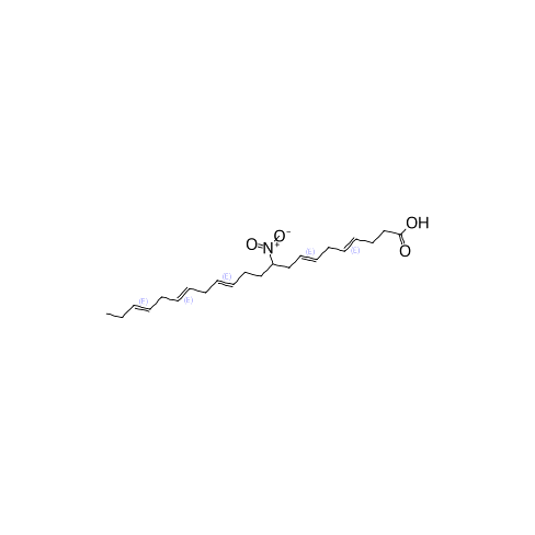 CC/C=C/C/C=C/C/C=C/CCC(C/C=C/C/C=C/CCC(=O)O)[N+](=O)[O-]